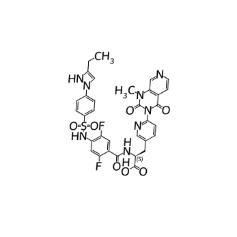 CCc1cn(-c2ccc(S(=O)(=O)Nc3cc(F)c(C(=O)N[C@@H](Cc4ccc(-n5c(=O)c6ccncc6n(C)c5=O)nc4)C(=O)O)cc3F)cc2)[nH]1